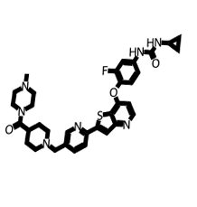 CN1CCN(C(=O)C2CCN(Cc3ccc(-c4cc5nccc(Oc6ccc(NC(=O)NC7CC7)cc6F)c5s4)nc3)CC2)CC1